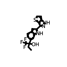 CCC(O)(c1ccc2cc(-c3n[nH]c4ccsc34)[nH]c2c1)C(F)(F)F